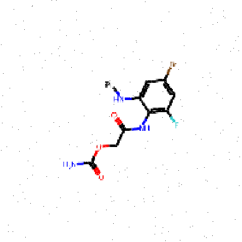 CC(C)Nc1cc(Br)cc(F)c1NC(=O)COC(N)=O